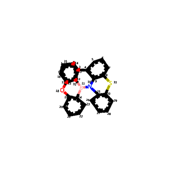 c1ccc(-c2cccc3c2N(B2c4ccccc4Oc4ccccc42)c2ccccc2S3)cc1